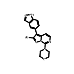 CC(C)c1nn2c(N3CCOCC3)nccc2c1-c1ccc2[nH]ncc2c1